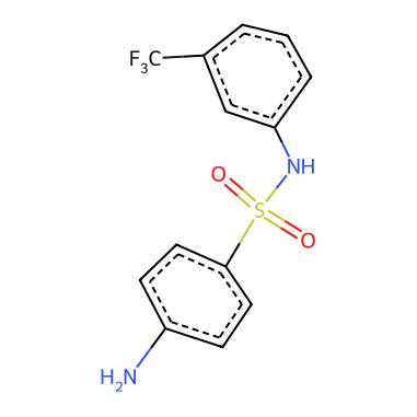 Nc1ccc(S(=O)(=O)Nc2cccc(C(F)(F)F)c2)cc1